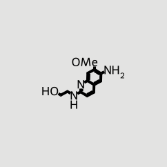 COc1cc2nc(NCCO)ccc2cc1N